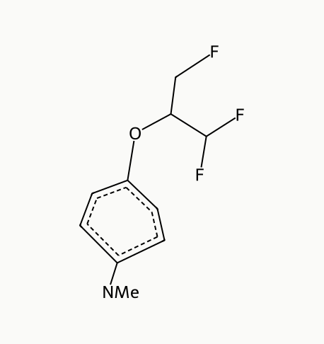 CNc1ccc(OC(CF)C(F)F)cc1